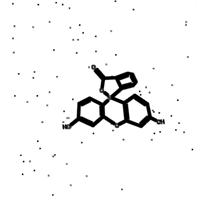 O=C1O[Si]2(c3ccc(O)cc3Oc3cc(O)ccc32)c2ccccc21